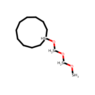 [SiH3]O[SiH2]O[SiH2]O[SiH]1CCCCCCCCCC1